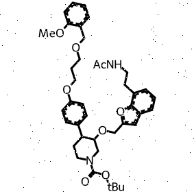 COc1ccccc1COCCCOc1ccc(C2CCN(C(=O)OC(C)(C)C)CC2OCc2cc3cccc(CCNC(C)=O)c3o2)cc1